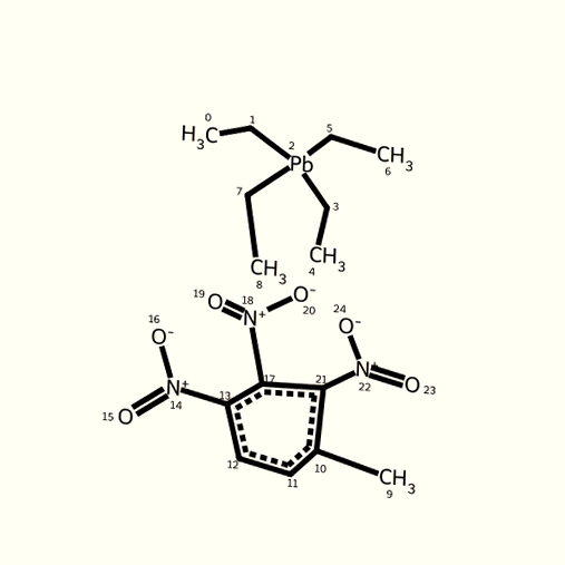 C[CH2][Pb]([CH2]C)([CH2]C)[CH2]C.Cc1ccc([N+](=O)[O-])c([N+](=O)[O-])c1[N+](=O)[O-]